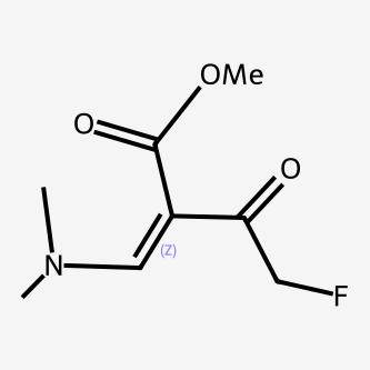 COC(=O)/C(=C\N(C)C)C(=O)CF